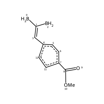 BC(B)=Cc1ccc(C(=O)OC)cc1